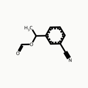 CC(O[C]=O)c1cccc(C#N)c1